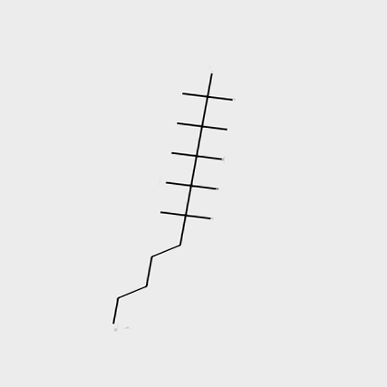 CCCCCCCCCCCCCCC(F)(F)C(F)(F)C(F)(F)C(F)(F)C(F)(F)C(F)(F)F